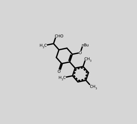 CCCCOC1=C(c2c(C)cc(C)cc2C)C(=O)CC(C(C)C=O)C1